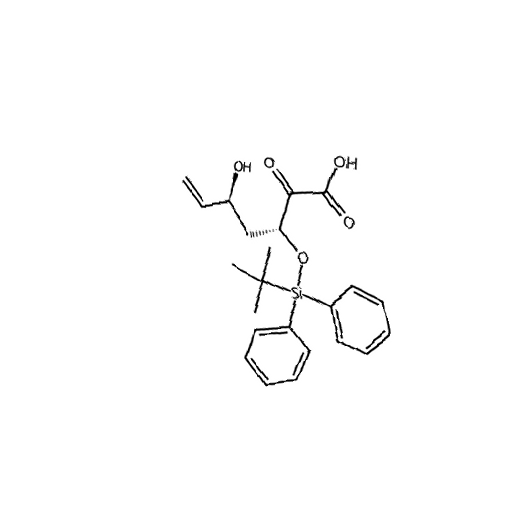 C=C[C@@H](O)C[C@@H](O[Si](c1ccccc1)(c1ccccc1)C(C)(C)C)C(=O)C(=O)O